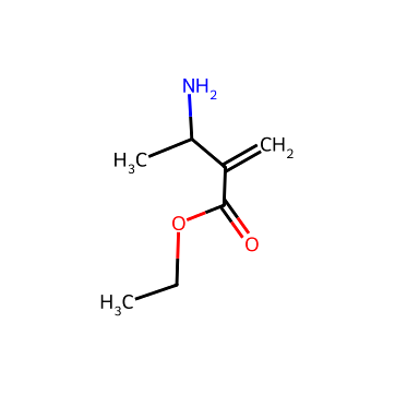 C=C(C(=O)OCC)C(C)N